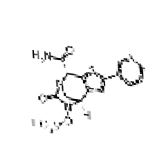 NC(=O)[C@@H]1c2sc(-c3cccnc3)cc2[C@@H]2CN1C(=O)N2OS(=O)(=O)O